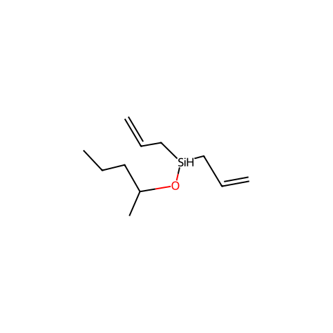 C=CC[SiH](CC=C)OC(C)CCC